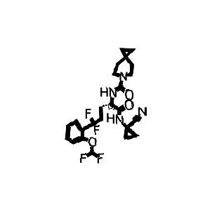 N#CC1(NC(=O)[C@H](CCC(F)(F)c2ccccc2OC(F)F)NC(=O)N2CCC3(CC2)CC3)CC1